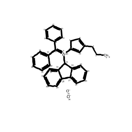 CCCC1=CC[C]([Zr+2](=[C](c2ccccc2)c2ccccc2)[CH]2c3ccccc3-c3ccccc32)=C1.[Cl-].[Cl-]